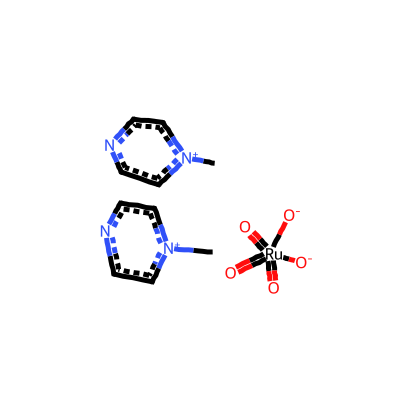 C[n+]1ccncc1.C[n+]1ccncc1.[O]=[Ru](=[O])(=[O])([O-])[O-]